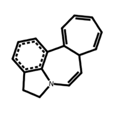 C1=CC=C2c3cccc4c3N(C=CC2C=C1)CC4